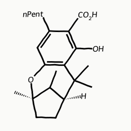 CCCCCc1cc2c(c(O)c1C(=O)O)C(C)(C)[C@H]1CC[C@@](C)(O2)C1C